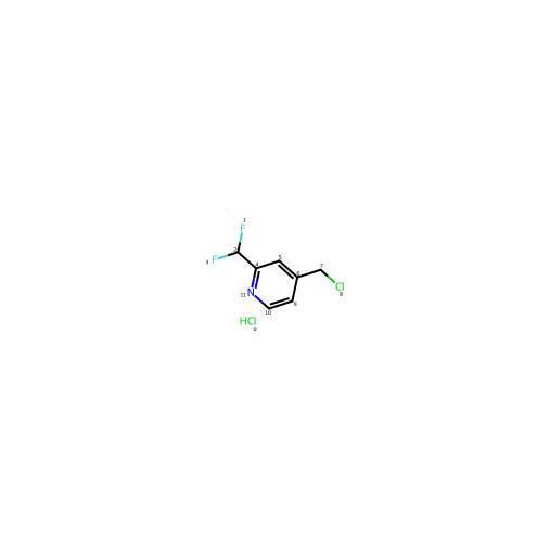 Cl.FC(F)c1cc(CCl)ccn1